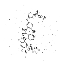 Cc1cc(F)c(Nc2ccnc3c2C(=O)Nc2cc(CN4CC[C@@H](NC(=O)O)C4)ccc2N3)cc1O[Si](C)(C)C(C)(C)C